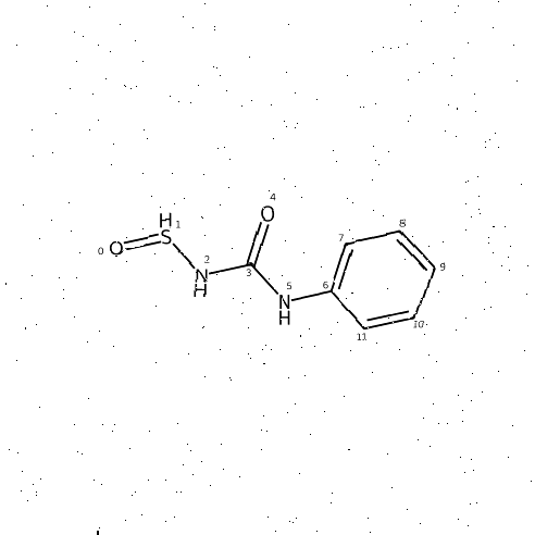 O=[SH]NC(=O)Nc1ccccc1